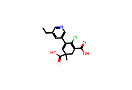 CCc1cncc(C2=CC(C)(C(=O)O)CC(C(=O)O)=C2Cl)c1